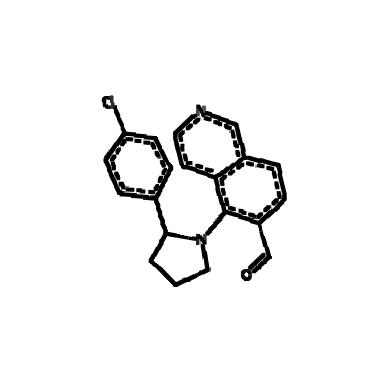 O=Cc1ccc2cnccc2c1N1CCCC1c1ccc(Cl)cc1